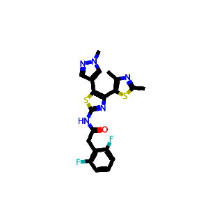 Cc1nc(C)c(-c2nc(NC(=O)Cc3c(F)cccc3F)sc2-c2cnn(C)c2)s1